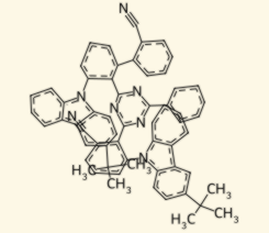 CC(C)(C)c1ccc2c(c1)c1ccccc1n2-c1cccc(C#N)c1-c1nc(-c2ccccc2)nc(-c2c(-c3ccccc3C#N)cccc2-n2c3ccccc3c3cc(C(C)(C)C)ccc32)n1